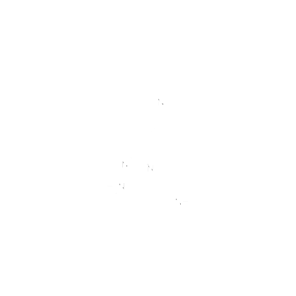 Cc1cc(-c2cnc(N)c(OC3CCNC3)n2)cc2c1CCN(C)C2